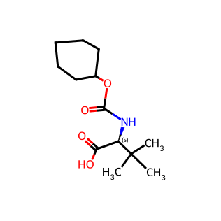 CC(C)(C)[C@H](NC(=O)OC1CCCCC1)C(=O)O